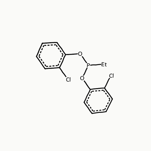 CCP(Oc1ccccc1Cl)Oc1ccccc1Cl